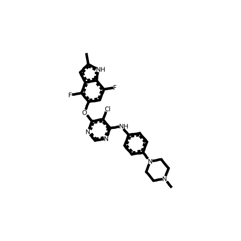 Cc1cc2c(F)c(Oc3ncnc(Nc4ccc(N5CCN(C)CC5)cc4)c3Cl)cc(F)c2[nH]1